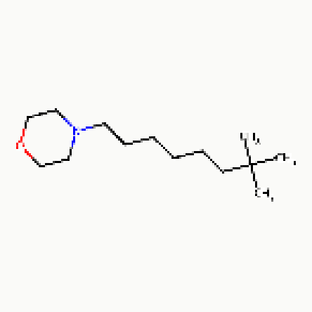 CC(C)(C)CCCCCCN1CCOCC1